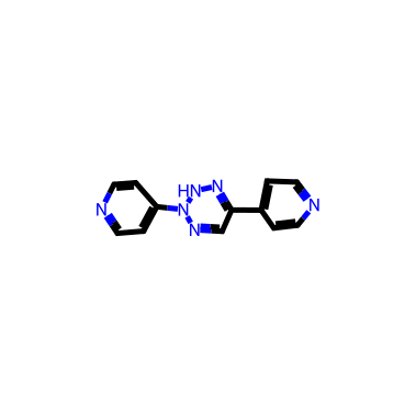 C1=NN(c2ccncc2)NN=C1c1ccncc1